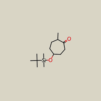 CC1CCC(O[Si](C)(C)C(C)(C)C)CCC1=O